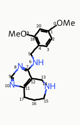 COc1ccc(CNc2ncnc3c2CNCCC3)c(OC)c1